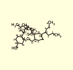 CCCC(CCC)[C@H]1CCC(CC)C([C@H](C)C[C@](CC(C)C)(C(C)C)C2CCC(O)CC2)C1